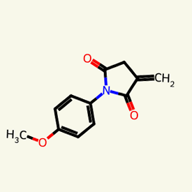 C=C1CC(=O)N(c2ccc(OC)cc2)C1=O